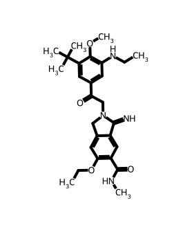 CCNc1cc(C(=O)CN2Cc3cc(OCC)c(C(=O)NC)cc3C2=N)cc(C(C)(C)C)c1OC